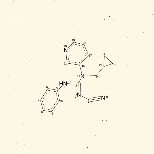 N#CN=C(Nc1ccccc1)N(CC1CC1)c1cccnc1